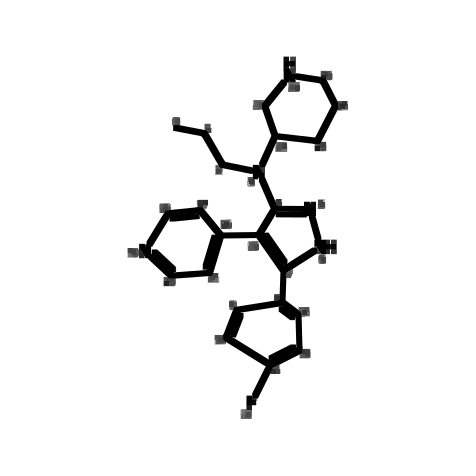 CCCN(c1n[nH]c(-c2ccc(F)cc2)c1-c1ccncc1)C1CCCNC1